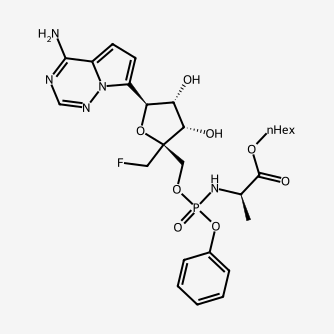 CCCCCCOC(=O)[C@@H](C)NP(=O)(OC[C@@]1(CF)O[C@@H](c2ccc3c(N)ncnn23)[C@H](O)[C@@H]1O)Oc1ccccc1